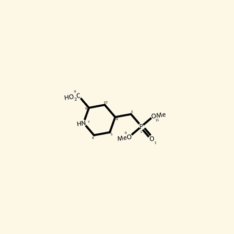 COP(=O)(CC1CCNC(C(=O)O)C1)OC